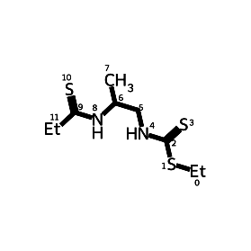 CCSC(=S)NCC(C)NC(=S)CC